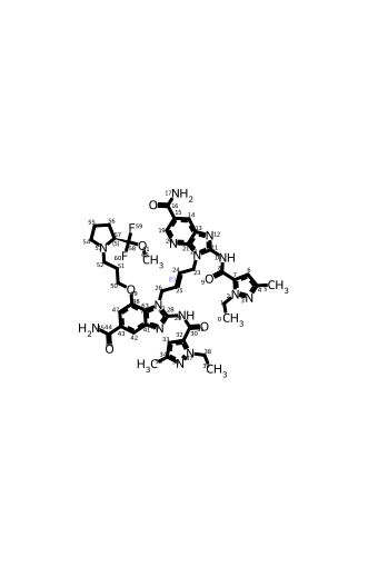 CCn1nc(C)cc1C(=O)Nc1nc2cc(C(N)=O)cnc2n1C/C=C/Cn1c(NC(=O)c2cc(C)nn2CC)nc2cc(C(N)=O)cc(OCCCN3CCC[C@H]3C(F)(F)OC)c21